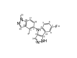 Cc1c(-n2c3ccc(F)cc3c3[nH]ncc32)ccc2c1cnn2C